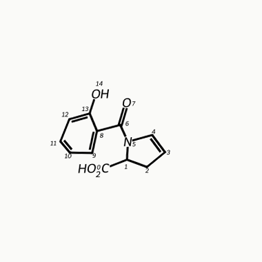 O=C(O)C1CC=CN1C(=O)c1ccccc1O